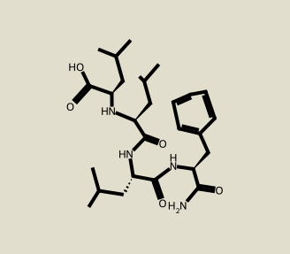 CC(C)C[C@H](NC(=O)[C@H](CC(C)C)N[C@H](CC(C)C)C(=O)O)C(=O)N[C@@H](Cc1ccccc1)C(N)=O